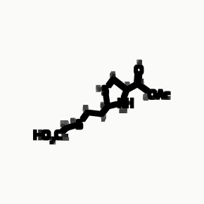 CC(=O)OC(=O)C1CSC(CCSCC(=O)O)N1